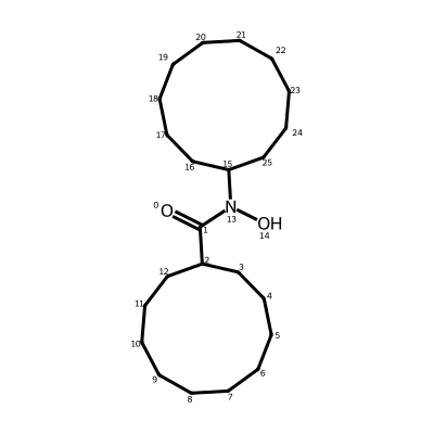 O=C(C1CCCCCCCCCC1)N(O)C1CCCCCCCCCC1